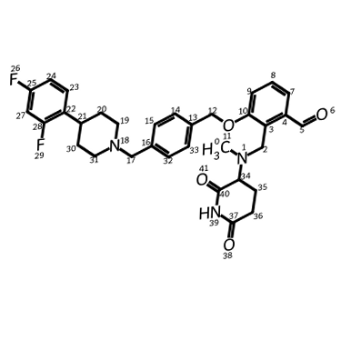 CN(Cc1c(C=O)cccc1OCc1ccc(CN2CCC(c3ccc(F)cc3F)CC2)cc1)C1CCC(=O)NC1=O